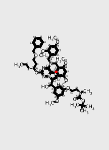 CCC[C@H](CCOCc1ccccc1)Oc1nc(N(Cc2ccc(OC)cc2OC)Cc2ccc(OC)cc2OC)c2ncc(C(O)c3cc(OC)cc(OCCN(C)C(=O)OC(C)(C)C)c3)n2n1